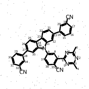 Cc1nc(C)nc(-c2cc(-n3c4cc(-c5cccc(C#N)c5)ccc4c4ccc(-c5cccc(C#N)c5)cc43)ccc2C#N)n1